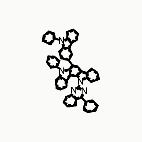 c1ccc(-c2nc(-n3c4ccccc4c4cc(-c5ccc6c(c5)c5ccccc5n6-c5ccccc5)c5c(c6ccccc6n5-c5ccccc5)c43)nc3ccccc23)cc1